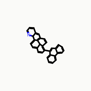 C1=CC2=CC3=C4C(=CC=C5C=CC(c6cc7ccccc7c7ccccc67)=C(C=C3)C54)C2N=C1